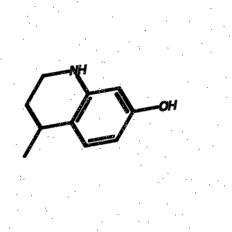 CC1CCNc2cc(O)ccc21